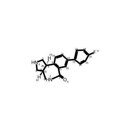 O=C1NC[C@@H]2CNC[C@H]2c2ccc(-c3ccc(F)cc3)cc21